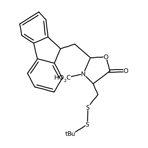 CC(C)(C)SSCC1C(=O)OC(CC2c3ccccc3-c3ccccc32)N1C(=O)O